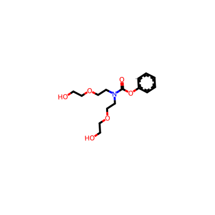 O=C(Oc1[c]cccc1)N(CCOCCO)CCOCCO